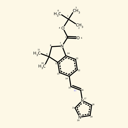 CC(C)(C)OC(=O)N1CC(C)(C)c2cc(/C=C/n3ccnc3)ccc21